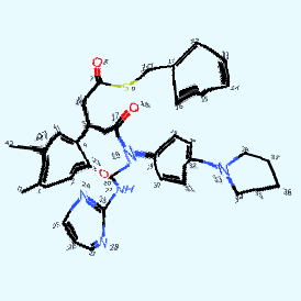 Cc1ccc(C(CC(=O)SCc2ccccc2)C(=O)N(C(=O)Nc2ncccn2)c2ccc(N3CCCCC3)cc2)cc1C